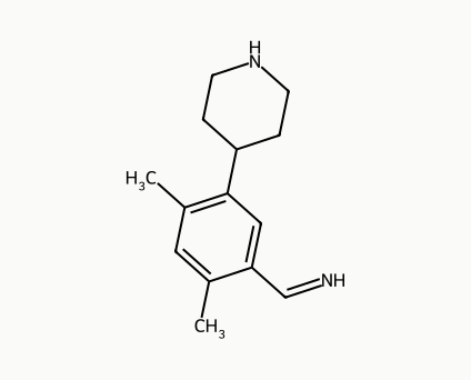 Cc1cc(C)c(C2CCNCC2)cc1C=N